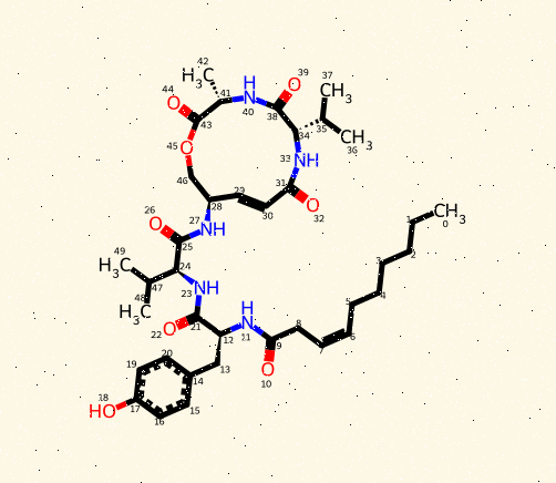 CCCCCC/C=C\CC(=O)N[C@@H](Cc1ccc(O)cc1)C(=O)N[C@H](C(=O)N[C@@H]1/C=C/C(=O)N[C@@H](C(C)C)C(=O)N[C@@H](C)C(=O)OC1)C(C)C